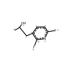 CC(O)Cc1ccc(F)nc1F